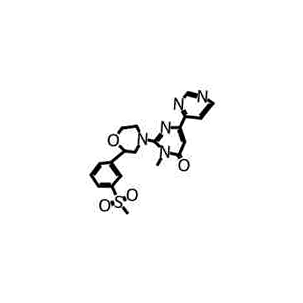 Cn1c(N2CCOC(c3cccc(S(C)(=O)=O)c3)C2)nc(-c2ccncn2)cc1=O